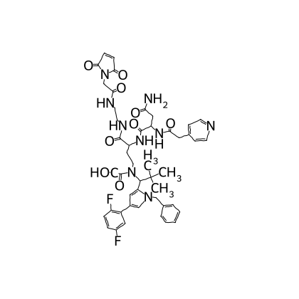 CC(C)(C)C(c1cc(-c2cc(F)ccc2F)cn1Cc1ccccc1)N(CCC(NC(=O)C(CC(N)=O)NC(=O)Cc1ccncc1)C(=O)NCCNC(=O)CN1C(=O)C=CC1=O)C(=O)CO